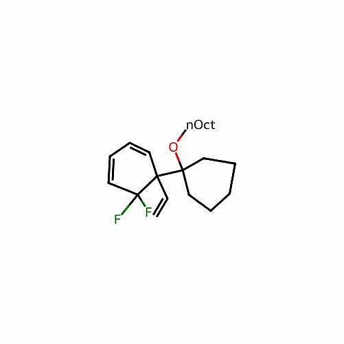 C=CC1(C2(OCCCCCCCC)CCCCC2)C=CC=CC1(F)F